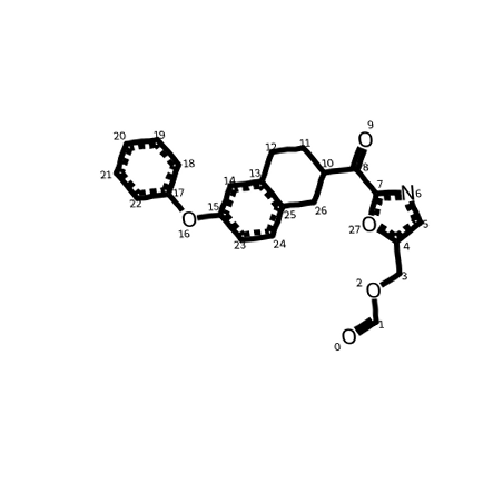 O=COCc1cnc(C(=O)C2CCc3cc(Oc4ccccc4)ccc3C2)o1